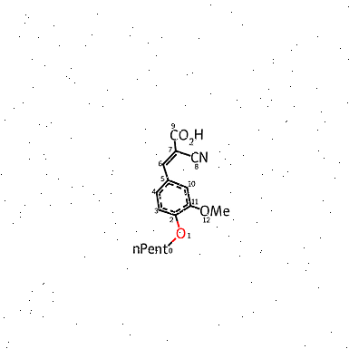 CCCCCOc1ccc(/C=C(\C#N)C(=O)O)cc1OC